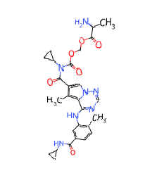 Cc1ccc(C(=O)NC2CC2)cc1Nc1ncnn2cc(C(=O)N(C(=O)OCOC(=O)C(C)N)C3CC3)c(C)c12